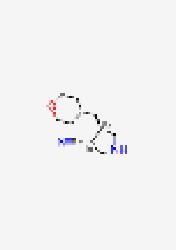 N#C[C@H]1CNC[C@@H]1CC1CCOCC1